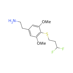 COc1cc(CCN)cc(OC)c1SCCC(F)F